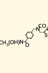 CN(O)C(=O)c1ccc(CN(Cc2cccs2)C(=O)O)cc1